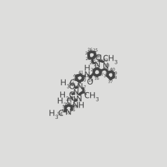 C=N/C(=N\C1=C(C)CN(c2cc(NC(=O)c3ccc4c(c3)N(Cc3ccccc3)C(=O)[C@H](C)N=C4c3ccccc3)ccc2C)C(=O)N1C)Nc1ccc(C)nc1